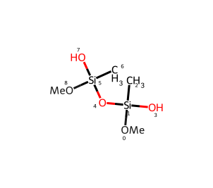 CO[Si](C)(O)O[Si](C)(O)OC